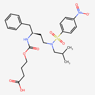 CC(C)CN(CC[C@H](Cc1ccccc1)NC(=O)OCCCC(=O)O)S(=O)(=O)c1ccc([N+](=O)[O-])cc1